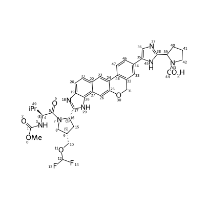 COC(=O)N[C@H](C(=O)N1C[C@@H](COC(F)F)C[C@H]1c1nc2ccc3cc4c(cc3c2[nH]1)OCc1cc(-c2cnc(C3CCCN3C(=O)O)[nH]2)ccc1-4)C(C)C